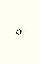 COc1cc(Br)c([N+](=O)[O-])cc1C#N